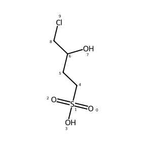 O=S(=O)(O)CCC(O)CCl